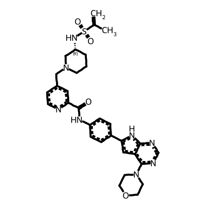 C=C(C)S(=O)(=O)N[C@@H]1CCCN(Cc2ccnc(C(=O)Nc3ccc(-c4cc5c(N6CCOCC6)ncnc5[nH]4)cc3)c2)C1